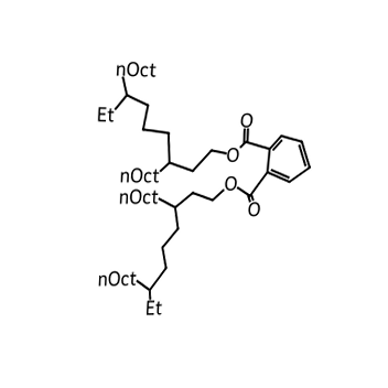 CCCCCCCCC(CC)CCCC(CCCCCCCC)CCOC(=O)c1ccccc1C(=O)OCCC(CCCCCCCC)CCCC(CC)CCCCCCCC